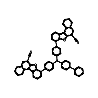 N#Cc1cc2ccccc2c2c1oc1c(-c3ccc(N(c4ccc(-c5ccccc5)cc4)c4ccc(-c5cccc6c5oc5c(C#N)cc7ccccc7c56)cc4)cc3)cccc12